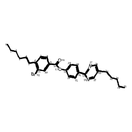 CCCCCCc1ccc(C(=O)Oc2ccc(-c3ncc(CCCCC)cn3)cc2)cc1Br